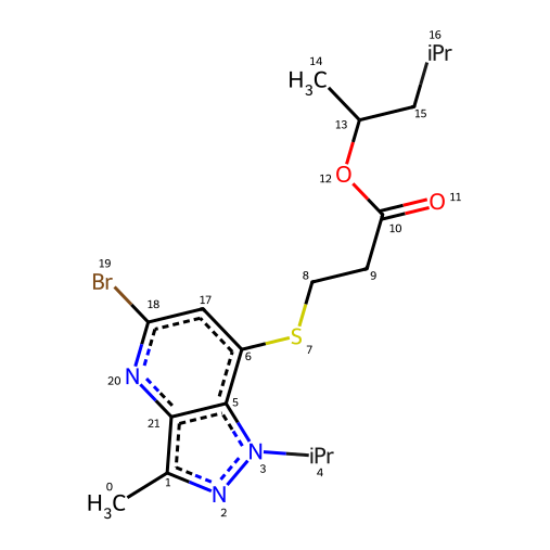 Cc1nn(C(C)C)c2c(SCCC(=O)OC(C)CC(C)C)cc(Br)nc12